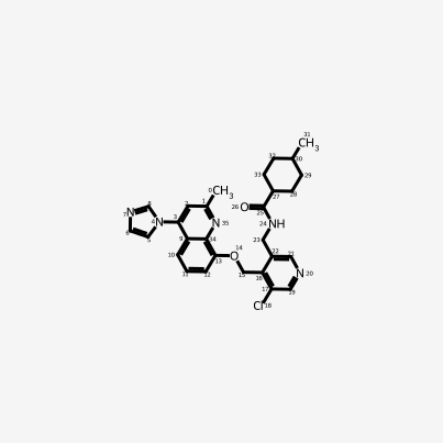 Cc1cc(-n2ccnc2)c2cccc(OCc3c(Cl)cncc3CNC(=O)C3CCC(C)CC3)c2n1